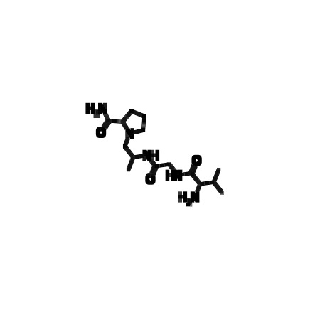 CC(CN1CCCC1C(N)=O)NC(=O)CNC(=O)C(N)C(C)C